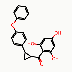 O=C(c1c(O)cc(O)cc1O)C1CC1c1ccc(Oc2ccccc2)cc1